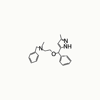 Cc1cc(C(OCCN(C)Cc2ccccc2)c2ccccc2)[nH]n1